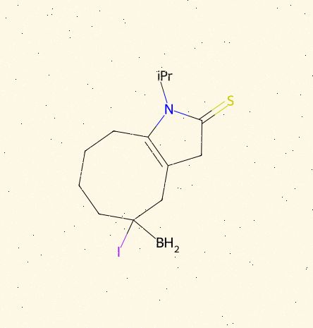 BC1(I)CCCCC2=C(CC(=S)N2C(C)C)C1